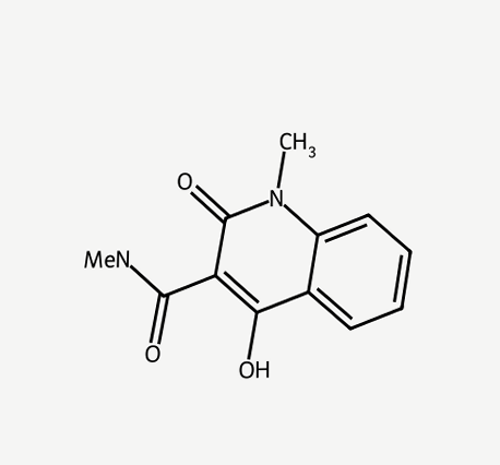 CNC(=O)c1c(O)c2ccccc2n(C)c1=O